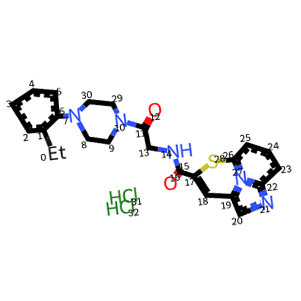 CCc1ccccc1N1CCN(C(=O)CNC(=O)C2=Cc3cnc4cccc(n34)S2)CC1.Cl.Cl